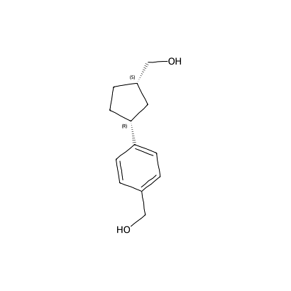 OCc1ccc([C@@H]2CC[C@H](CO)C2)cc1